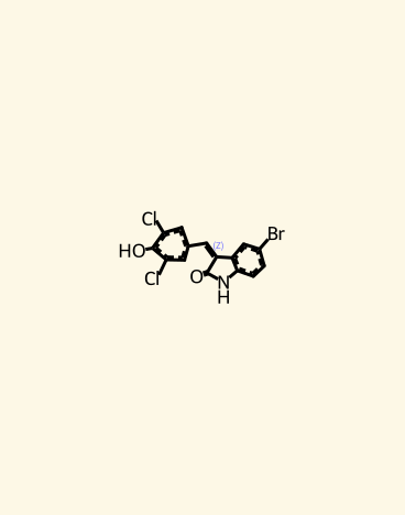 O=C1Nc2ccc(Br)cc2/C1=C/c1cc(Cl)c(O)c(Cl)c1